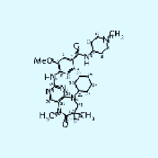 COc1cc(C(=O)NC2CCN(C)CC2)ccc1Nc1ncc2c(n1)N(C1CCCCC1)CC(C)(F)C(=O)N2C